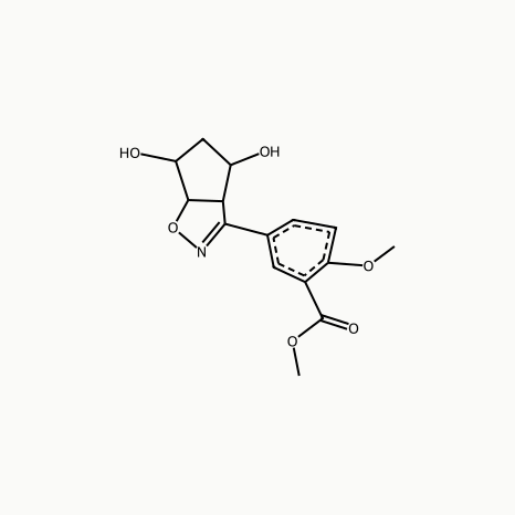 COC(=O)c1cc(C2=NOC3C(O)CC(O)C23)ccc1OC